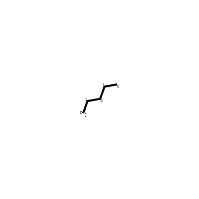 [C]CCCC